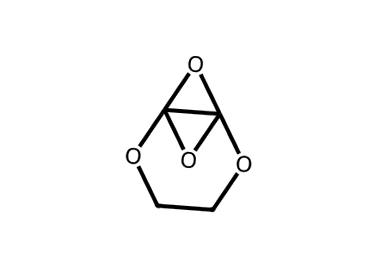 C1COC23OC2(O1)O3